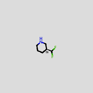 FC(F)[C@H]1CCCNC1